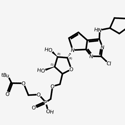 CC(C)(C)C(=O)OCOP(=O)(O)COCC1O[C@@H](n2ccc3c(NC4CCCC4)nc(Cl)nc32)[C@H](O)[C@@H]1O